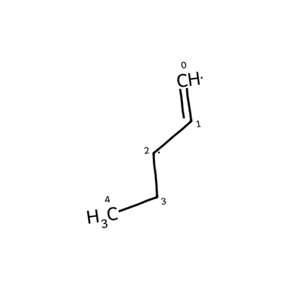 [CH]=C[CH]CC